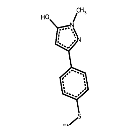 CCSc1ccc(-c2cc(O)n(C)n2)cc1